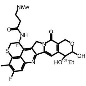 CC[C@]1(O)c2cc3n(c(=O)c2COC1O)Cc1c-3nc2cc(F)c(C)c3c2c1[C@H](NC(=O)CCNC)CS3